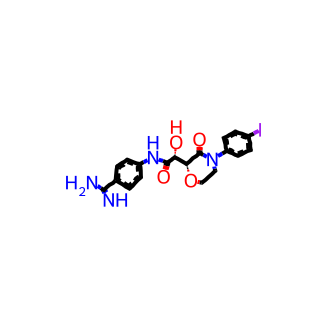 N=C(N)c1ccc(NC(=O)[C@H](O)[C@H]2OCCN(c3ccc(I)cc3)C2=O)cc1